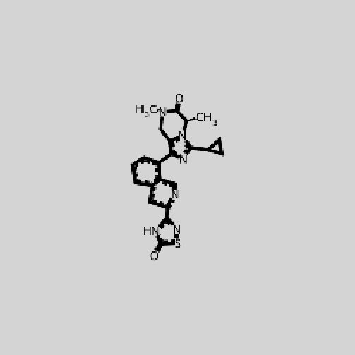 C[C@@H]1C(=O)N(C)Cc2c(-c3cccc4cc(-c5nsc(=O)[nH]5)ncc34)nc(C3CC3)n21